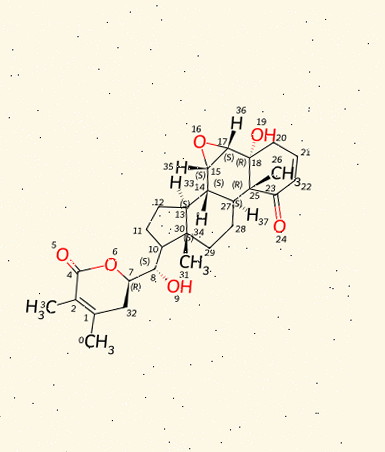 CC1=C(C)C(=O)O[C@@H]([C@@H](O)C2CC[C@H]3[C@@H]4[C@@H]5O[C@@H]5[C@@]5(O)CC=CC(=O)[C@]5(C)[C@H]4CC[C@]23C)C1